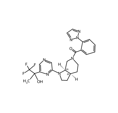 CC(O)(c1cncc(N2CC[C@@H]3CCN(C(=O)c4ccccc4-n4nccn4)C[C@@H]32)n1)C(F)(F)F